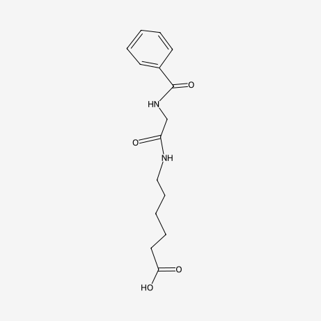 O=C(O)CCCCCNC(=O)CNC(=O)c1ccccc1